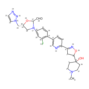 CN1CCC(O)(C2CC(c3ccc(-c4ccc(N5C[C@H](Cn6ccnn6)OC5C=O)cc4F)cn3)=NO2)CC1